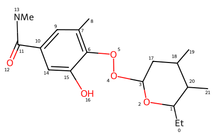 CCC1OC(OOc2c(C)cc(C(=O)NC)cc2O)CC(C)C1C